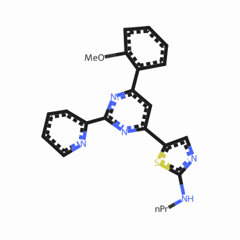 CCCNc1ncc(-c2cc(-c3ccccc3OC)nc(-c3ccccn3)n2)s1